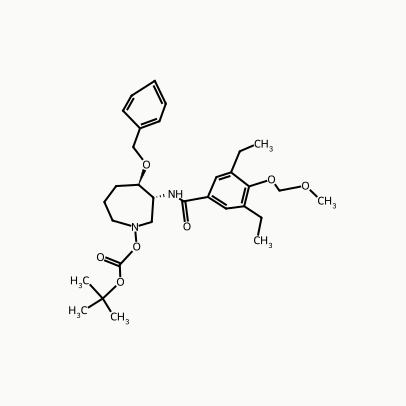 CCc1cc(C(=O)N[C@@H]2CN(OC(=O)OC(C)(C)C)CCC[C@H]2OCc2ccccc2)cc(CC)c1OCOC